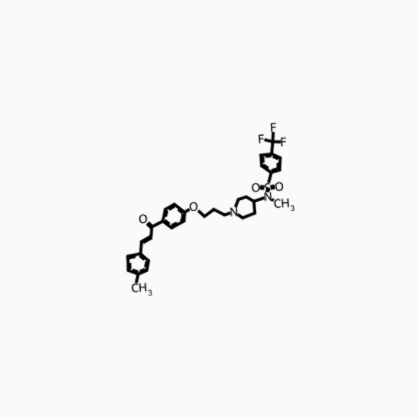 Cc1ccc(/C=C/C(=O)c2ccc(OCCCN3CCC(N(C)S(=O)(=O)c4ccc(C(F)(F)F)cc4)CC3)cc2)cc1